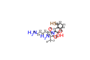 CC(C)CC(=O)N(C(=O)C(N)CCCCN)C(Cc1ccccc1S)C(=O)O